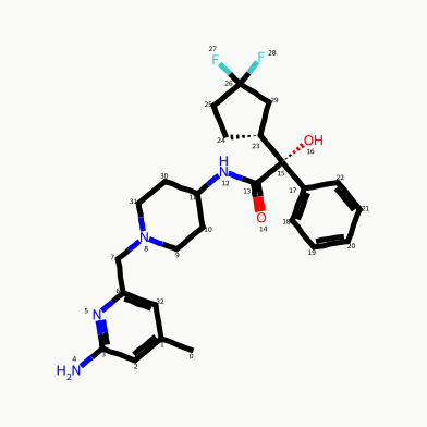 Cc1cc(N)nc(CN2CCC(NC(=O)[C@](O)(c3ccccc3)[C@@H]3CCC(F)(F)C3)CC2)c1